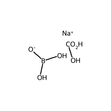 O=C(O)O.[Na+].[O-]B(O)O